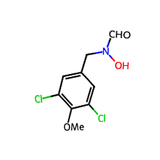 COc1c(Cl)cc(CN(O)C=O)cc1Cl